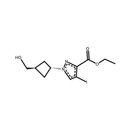 CCOC(=O)c1nn([C@H]2C[C@H](CO)C2)cc1I